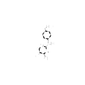 O=Cc1ccc(Nc2ncc(C(F)(F)F)c(Cl)n2)cc1